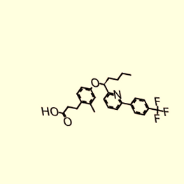 CCCC[C@H](Oc1ccc(CCC(=O)O)c(C)c1)c1cccc(-c2ccc(C(F)(F)F)cc2)n1